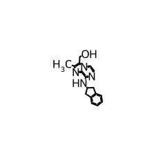 Cc1nc2c(NC3Cc4ccccc4C3)nccn2c1CO